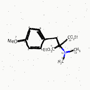 CCOC(=O)C(Cc1ccc(OC)cc1)(C(=O)OCC)N(C)C